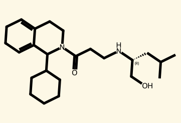 CC(C)C[C@H](CO)NCCC(=O)N1CCC2=CCCC=C2C1C1CCCCC1